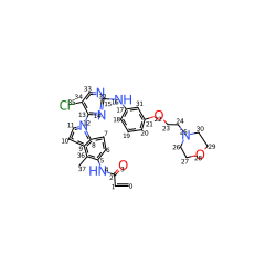 C=CC(=O)Nc1ccc2c(ccn2-c2nc(Nc3cccc(OCCN4CCOCC4)c3)ncc2Cl)c1C